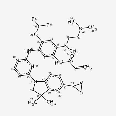 C=CC(=O)Nc1cc(Nc2nccc(N3CC(C)(C)c4nc(C5CC5)ccc43)n2)c(OC(F)F)cc1N(C)CCN(C)C